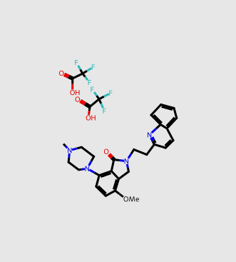 COc1ccc(N2CCN(C)CC2)c2c1CN(CCc1ccc3ccccc3n1)C2=O.O=C(O)C(F)(F)F.O=C(O)C(F)(F)F